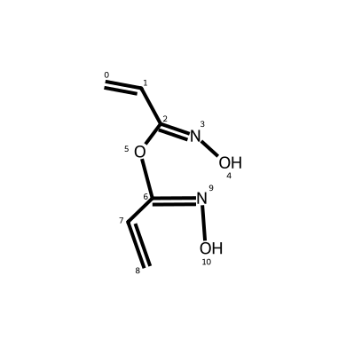 C=CC(=NO)OC(C=C)=NO